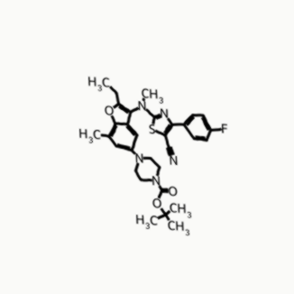 CCc1oc2c(C)cc(N3CCN(C(=O)OC(C)(C)C)CC3)cc2c1N(C)c1nc(-c2ccc(F)cc2)c(C#N)s1